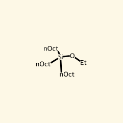 CCCCCCCC[Si](CCCCCCCC)(CCCCCCCC)OCC